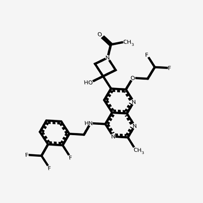 CC(=O)N1CC(O)(c2cc3c(NCc4cccc(C(F)F)c4F)nc(C)nc3nc2OCC(F)F)C1